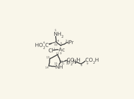 CC(=O)Cl.CC(C)C[C@H](N)C(=O)O.NCC(=O)O.O=C(O)[C@@H]1CCCN1